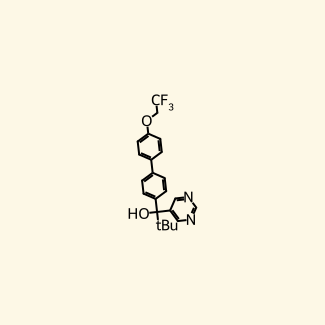 CC(C)(C)C(O)(c1ccc(-c2ccc(OCC(F)(F)F)cc2)cc1)c1cncnc1